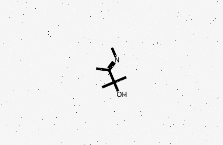 C/N=C(\C)C(C)(C)O